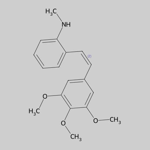 CNc1ccccc1/C=C\c1cc(OC)c(OC)c(OC)c1